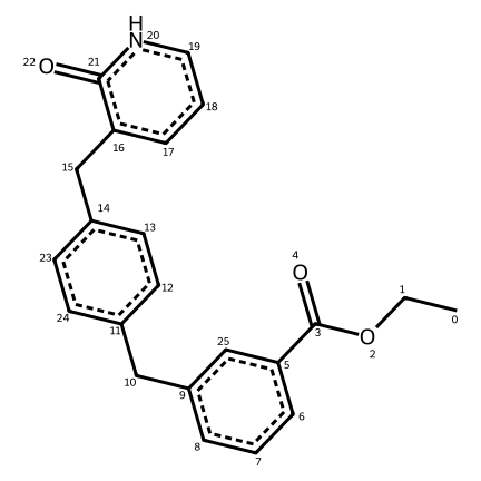 CCOC(=O)c1cccc(Cc2ccc(Cc3ccc[nH]c3=O)cc2)c1